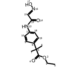 CCOC(=O)C(C)(C)c1ccc(NC(=O)C=NO)cc1